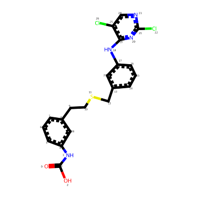 O=C(O)Nc1cccc(CCSCc2cccc(Nc3nc(Cl)ncc3Cl)c2)c1